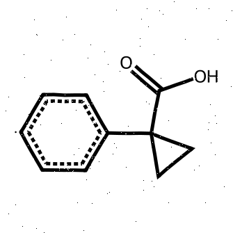 O=C(O)C1(c2cc[c]cc2)CC1